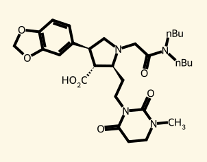 CCCCN(CCCC)C(=O)CN1C[C@H](c2ccc3c(c2)OCO3)[C@@H](C(=O)O)[C@@H]1CCN1C(=O)CCN(C)C1=O